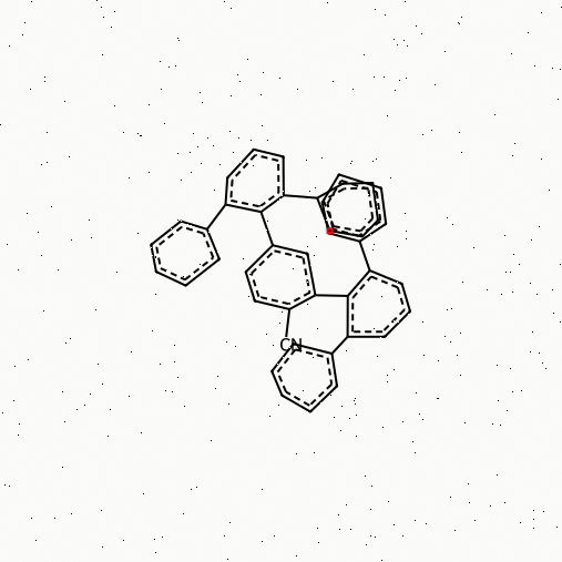 N#Cc1ccc(-c2c(-c3ccccc3)cccc2-c2ccccc2)cc1-c1c(-c2ccccc2)cccc1-c1ccccc1